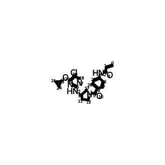 C=CC(=O)Nc1ccc(C(=O)N2CC[C@H](Nc3ncc(Cl)c(OC4CC4)n3)C2)cc1